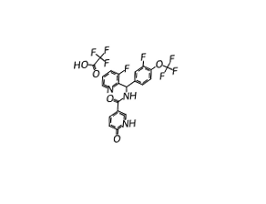 O=C(NC(c1ccc(OC(F)(F)F)c(F)c1)c1ncccc1F)c1ccc(=O)[nH]c1.O=C(O)C(F)(F)F